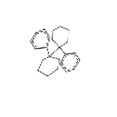 c1ccc(C2(C3(c4ccccc4)CCCCC3)CCCCC2)cc1